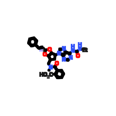 CCNC(=O)Nc1ncnc2c1ncn2C1CC(CN(C)C(=O)c2ccccc2C(=O)O)C2O[C@H](/C=C/c3ccccc3)OC21